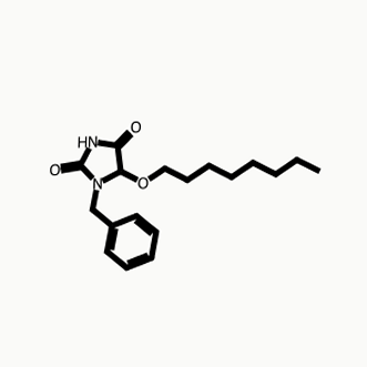 CCCCCCCCOC1C(=O)NC(=O)N1Cc1ccccc1